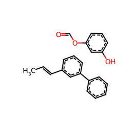 CC=Cc1cccc(-c2ccccc2)c1.O=COc1cccc(O)c1